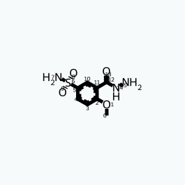 COc1ccc(S(N)(=O)=O)cc1C(=O)NN